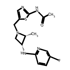 CC(=O)Nc1ncc(CN2C[C@@H](Nc3ccc(F)cn3)[C@H]2C)s1